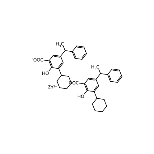 CC(c1ccccc1)c1cc(C(=O)[O-])c(O)c(C2CCCCC2)c1.CC(c1ccccc1)c1cc(C(=O)[O-])c(O)c(C2CCCCC2)c1.[Zn+2]